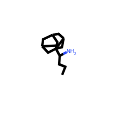 CCCC(N)C12CC3CC(CC(C3)C1)C2